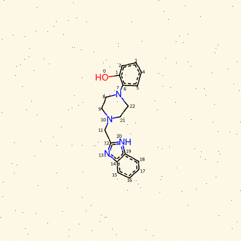 Oc1ccccc1N1CCN(Cc2nc3ccccc3[nH]2)CC1